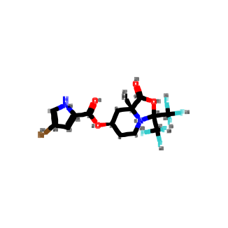 O=C(O[C@@H]1CCN2[C@H](C1)C(=O)OC2(C(F)(F)F)C(F)(F)F)c1cc(Br)c[nH]1